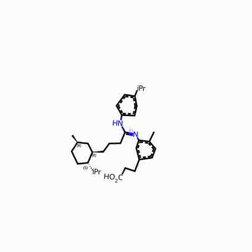 Cc1ccc(CCC(=O)O)cc1/N=C(\CCC[C@@H]1C[C@H](C)CC[C@H]1C(C)C)Nc1ccc(C(C)C)cc1